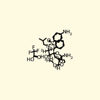 O=C(O)C(F)(F)F.[2H]C1O[C@@]2([2H])OCC[C@@]2([2H])[C@H]1[C@@](Cc1ccccc1)(OC(N)=O)[C@]([2H])(O)C([2H])([2H])N(CC(C)C)S(=O)(=O)c1ccc(N)cc1